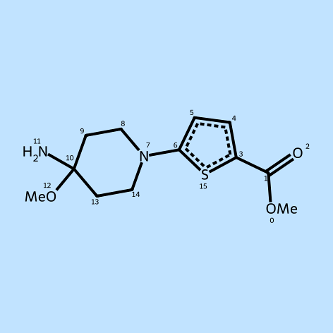 COC(=O)c1ccc(N2CCC(N)(OC)CC2)s1